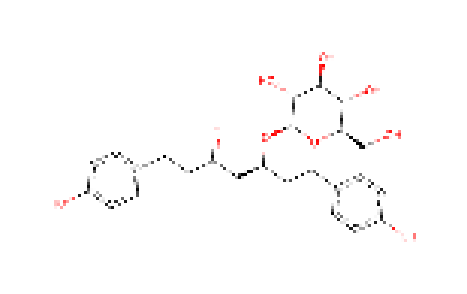 O=C(CCc1ccc(O)cc1)C[C@H](CCc1ccc(O)cc1)O[C@@H]1O[C@H](CO)[C@@H](O)[C@H](O)[C@H]1O